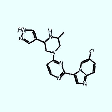 CC1CN(c2ccnc(-c3cnc4ccc(Cl)cn34)n2)CC(c2cn[nH]c2)N1